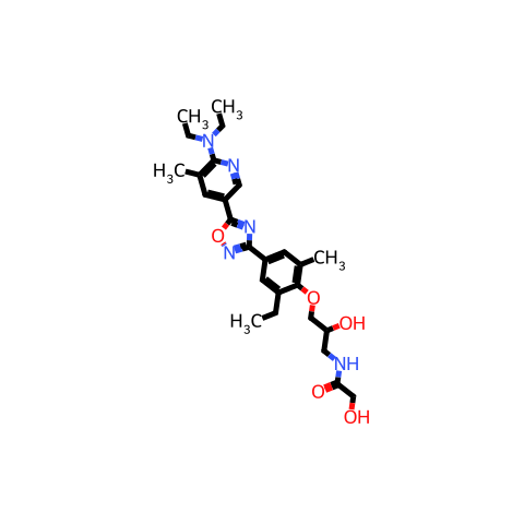 CCc1cc(-c2noc(-c3cnc(N(CC)CC)c(C)c3)n2)cc(C)c1OCC(O)CNC(=O)CO